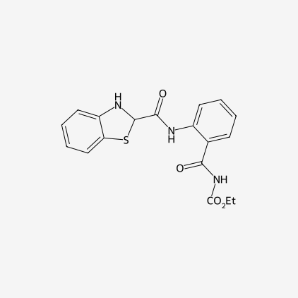 CCOC(=O)NC(=O)c1ccccc1NC(=O)C1Nc2ccccc2S1